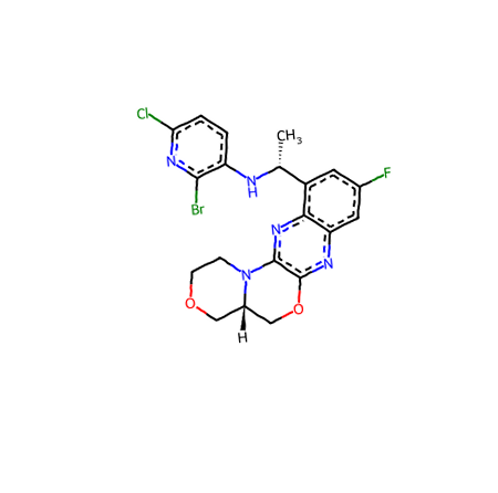 C[C@@H](Nc1ccc(Cl)nc1Br)c1cc(F)cc2nc3c(nc12)N1CCOC[C@H]1CO3